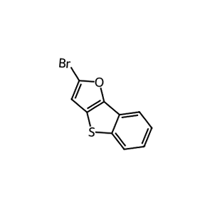 Brc1cc2sc3ccccc3c2o1